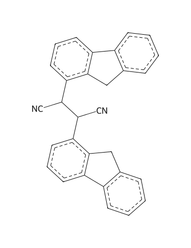 N#CC(c1cccc2c1Cc1ccccc1-2)C(C#N)c1cccc2c1Cc1ccccc1-2